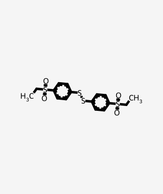 CCS(=O)(=O)c1ccc(SSc2ccc(S(=O)(=O)CC)cc2)cc1